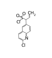 C=CC(c1ccc2nc(Cl)ccc2c1)S(=O)(=O)Cl